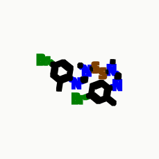 Cc1cc(Br)ccc1/N=C\N(C)SSN(C)/C=N\c1ccc(Br)cc1C